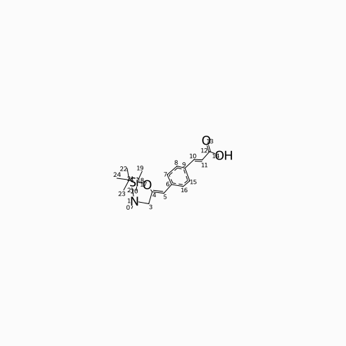 CN(C)CC(=Cc1ccc(C=CC(=O)O)cc1)O[Si](C)(C)C(C)(C)C